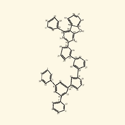 c1ccc(-c2cc(-c3ccccc3)cc(-c3cccc(-c4cccc(-c5cccc(-c6nc(-c7ccccc7)c7c(n6)oc6ccccc67)c5)c4)c3)c2)cc1